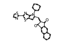 O=C1C(=Cc2cc3sc(-c4nccs4)nc3n2-c2ccccc2)C(=O)c2cc3ccccc3cc21